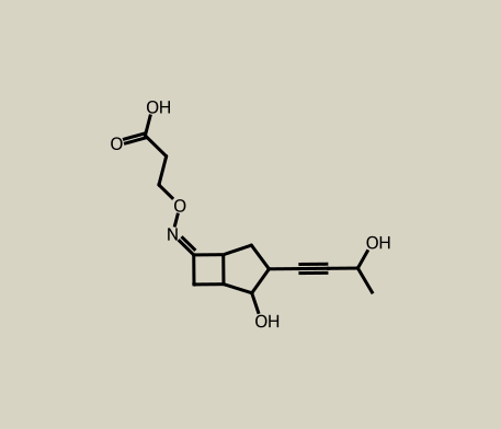 CC(O)C#CC1CC2C(=NOCCC(=O)O)CC2C1O